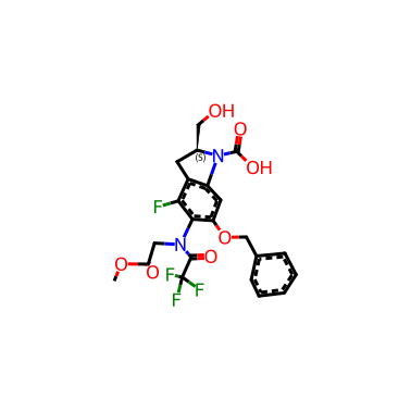 COC(=O)CN(C(=O)C(F)(F)F)c1c(OCc2ccccc2)cc2c(c1F)C[C@@H](CO)N2C(=O)O